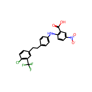 O=C(O)c1cc([N+](=O)[O-])ccc1Nc1ccc(CCc2ccc(Cl)c(C(F)(F)F)c2)cc1